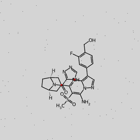 CS(=O)(=O)c1c(C2C[C@H]3CC[C@@H](C2)N3C(=O)c2nnc[nH]2)nc2c(-c3ccc(CO)c(F)c3)cnn2c1N